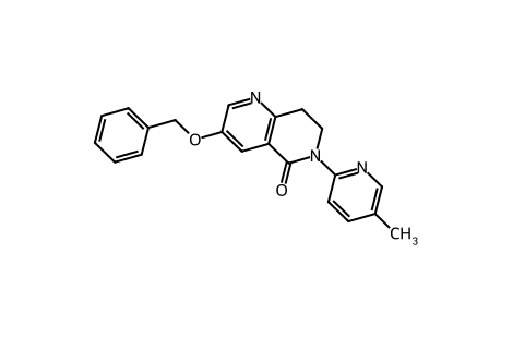 Cc1ccc(N2CCc3ncc(OCc4ccccc4)cc3C2=O)nc1